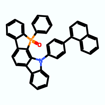 O=P1(c2ccccc2)c2ccccc2-c2ccc3c4ccccc4n(-c4ccc(-c5cccc6ccccc56)cc4)c3c21